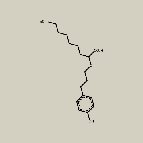 CCCCCCCCCCCCCCCCC(OCCCc1ccc(O)cc1)C(=O)O